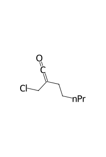 CCCCCC(=C=O)CCl